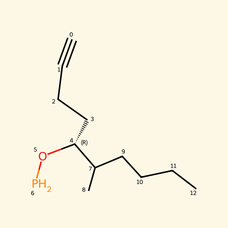 C#CCC[C@@H](OP)C(C)CCCC